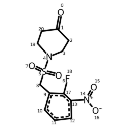 O=C1CCN(S(=O)(=O)Cc2cccc([N+](=O)[O-])c2F)CC1